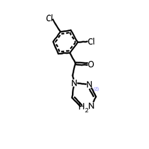 C=CN(CC(=O)c1ccc(Cl)cc1Cl)/N=C\N